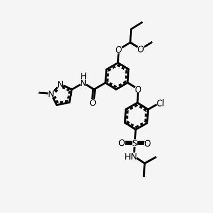 CCC(OC)Oc1cc(Oc2ccc(S(=O)(=O)NC(C)C)cc2Cl)cc(C(=O)Nc2ccn(C)n2)c1